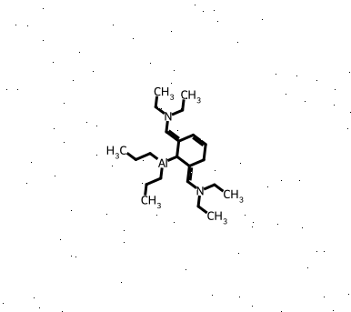 CC[CH2][Al]([CH2]CC)[CH]1C(=CN(CC)CC)C=CCC1=CN(CC)CC